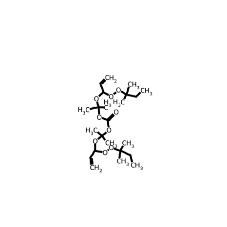 C=CC(OOC(C)(C)CC)OC(C)(C)OC(=O)OC(C)(C)OC(C=C)OOC(C)(C)CC